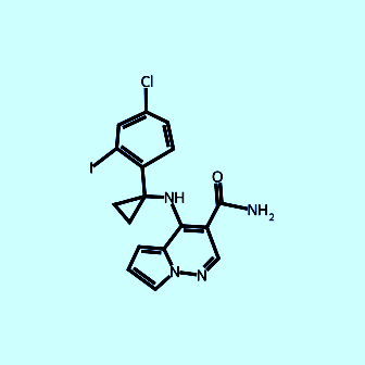 NC(=O)c1cnn2cccc2c1NC1(c2ccc(Cl)cc2I)CC1